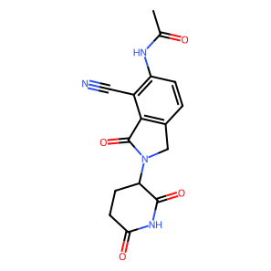 CC(=O)Nc1ccc2c(c1C#N)C(=O)N(C1CCC(=O)NC1=O)C2